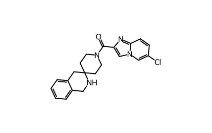 O=C(c1cn2cc(Cl)ccc2n1)N1CCC2(CC1)Cc1ccccc1CN2